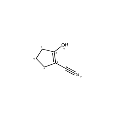 N#CC1=C(O)CCC1